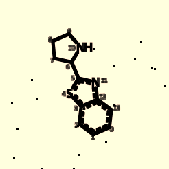 c1ccc2sc(C3CCCN3)nc2c1